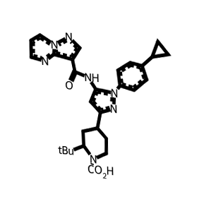 CC(C)(C)C1CC(c2cc(NC(=O)c3cnn4cccnc34)n(-c3ccc(C4CC4)cc3)n2)CCN1C(=O)O